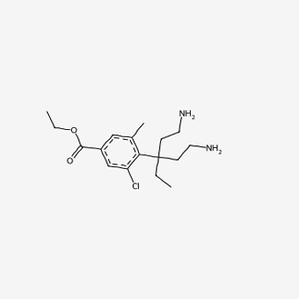 CCOC(=O)c1cc(C)c(C(CC)(CCN)CCN)c(Cl)c1